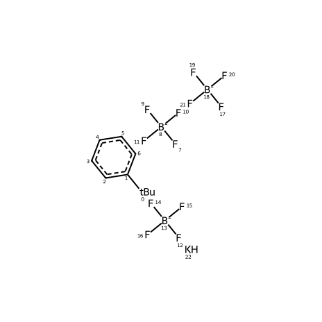 CC(C)(C)c1ccccc1.F[B-](F)(F)F.F[B-](F)(F)F.F[B-](F)(F)F.[KH]